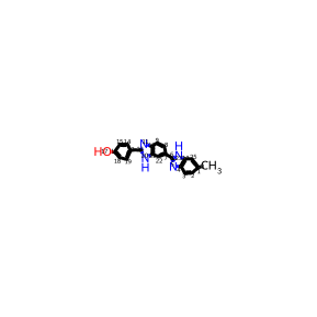 Cc1ccc2nc(-c3ccc4nc(-c5ccc(O)cc5)[nH]c4c3)[nH]c2c1